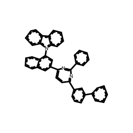 C1=CC(c2cccc(-c3ccccc3)c2)=NC(c2ccccc2)=NC=1c1cc(-n2c3ccccc3c3ccccc32)c2ccccc2c1